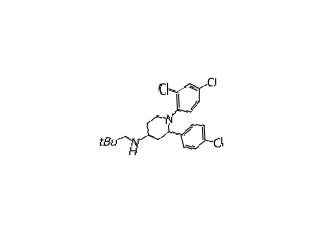 CC(C)(C)CNC1CCN(c2ccc(Cl)cc2Cl)C(c2ccc(Cl)cc2)C1